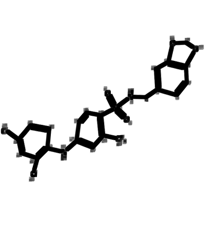 O=S(=O)(NCc1ccc2c(c1)OCO2)c1ccc(Nc2ccc(Cl)cc2Cl)cc1C(F)(F)F